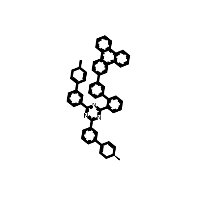 CC1C=CC(c2cccc(-c3nc(-c4cccc(C5=CC[C@H](C)C=C5)c4)nc(-c4ccccc4-c4cccc(-c5ccc6c7ccccc7c7ccccc7c6c5)c4)n3)c2)=CC1